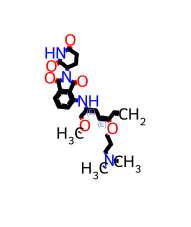 C=C/C(=C\C=C(/COC)Nc1cccc2c1C(=O)N(C1CCC(=O)NC1=O)C2=O)OCCCN(C)C